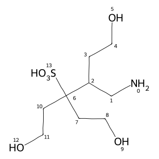 NCC(CCO)C(CCO)(CCO)S(=O)(=O)O